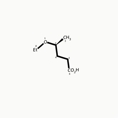 CCO[C@@H](C)CCC(=O)O